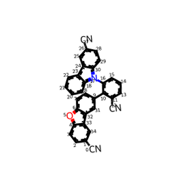 N#Cc1ccc2oc3ccc(-c4c(C#N)cccc4-n4c5ccccc5c5cc(C#N)ccc54)cc3c2c1